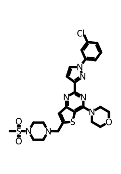 CS(=O)(=O)N1CCN(Cc2cc3nc(-c4ccn(-c5cccc(Cl)c5)n4)nc(N4CCOCC4)c3s2)CC1